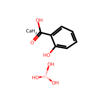 O=C(O)c1ccccc1O.OB(O)O.[CaH2]